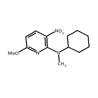 COc1ccc([N+](=O)[O-])c(N(C)C2CCCCC2)n1